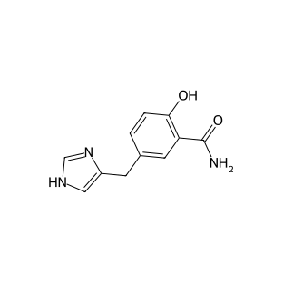 NC(=O)c1cc(Cc2c[nH]cn2)ccc1O